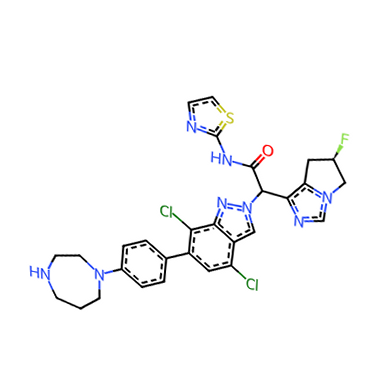 O=C(Nc1nccs1)C(c1ncn2c1C[C@@H](F)C2)n1cc2c(Cl)cc(-c3ccc(N4CCCNCC4)cc3)c(Cl)c2n1